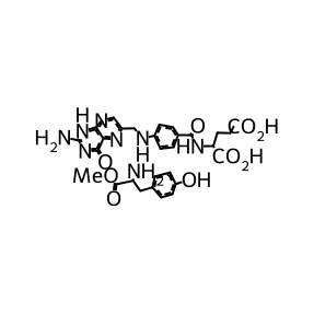 COC(=O)C(N)Cc1ccc(O)cc1.Nc1nc(=O)c2nc(CNc3ccc(C(=O)N[C@@H](CCC(=O)O)C(=O)O)cc3)cnc2[nH]1